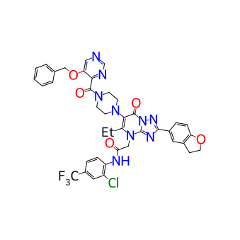 CCc1c(N2CCN(C(=O)c3ncncc3OCc3ccccc3)CC2)c(=O)n2nc(-c3ccc4c(c3)CCO4)nc2n1CC(=O)Nc1ccc(C(F)(F)F)cc1Cl